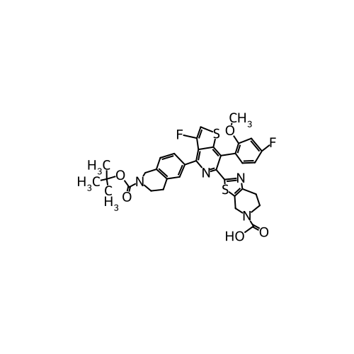 COc1cc(F)ccc1-c1c(-c2nc3c(s2)CN(C(=O)O)CC3)nc(-c2ccc3c(c2)CCN(C(=O)OC(C)(C)C)C3)c2c(F)csc12